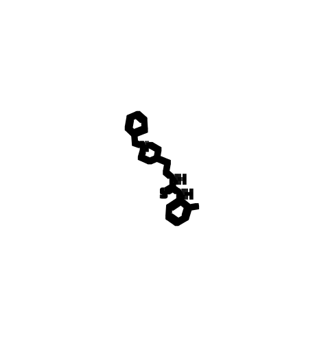 Cc1ccccc1NC(=S)NCCC1CCN(Cc2ccccc2)CC1